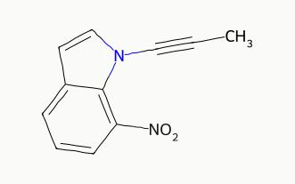 CC#Cn1ccc2cccc([N+](=O)[O-])c21